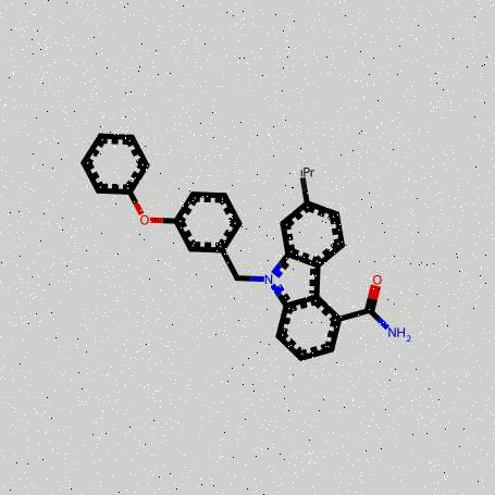 CC(C)c1c[c]c2c3c(C(N)=O)cccc3n(Cc3cccc(Oc4ccccc4)c3)c2c1